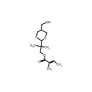 CC=C(C)C(=O)OCC(C)(C)C1OCC(CO)CO1